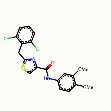 COc1ccc(NC(=O)c2csc(Cc3c(Cl)cccc3Cl)n2)cc1OC